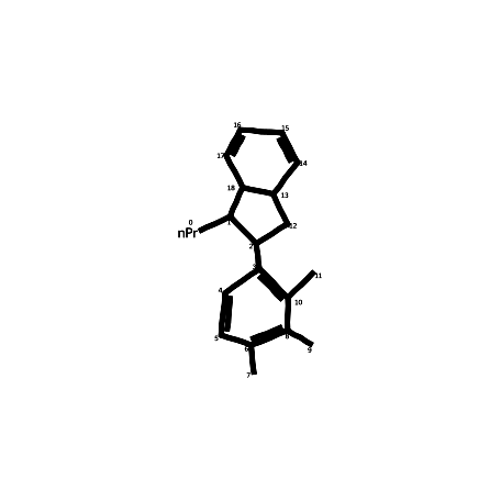 CCCC1C(c2ccc(C)c(C)c2C)[C]C2C=CC=CC21